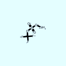 O=S(=O)(O[SiH3])OC(F)(F)F